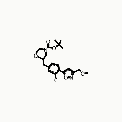 COCc1cc(-c2ccc(CC3CN(C(=O)OC(C)(C)C)CCO3)cc2Cl)on1